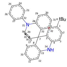 CC(C)(C)c1ccc2c(c1)C1(c3ccccc3N2)c2ccccc2N(c2ccccc2)c2ccccc21